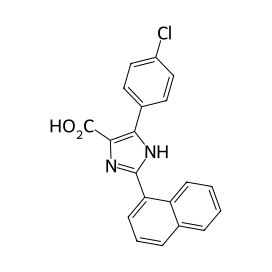 O=C(O)c1nc(-c2cccc3ccccc23)[nH]c1-c1ccc(Cl)cc1